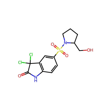 O=C1Nc2ccc(S(=O)(=O)N3CCCC3CO)cc2C1(Cl)Cl